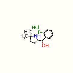 CC1(C)CC[C@H]([C@H](O)c2ccccc2F)N1.Cl